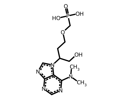 CN(C)c1ncnc2ncn(C(CO)CCOCP(=O)(O)O)c12